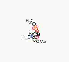 COc1ccc2c3c1O[C@H]1[C@@H]4CO[C@@]4(COS(=O)(=O)c4ccc(C)cc4)C[C@H]4[C@@H](C2)N(C)CC[C@@]341